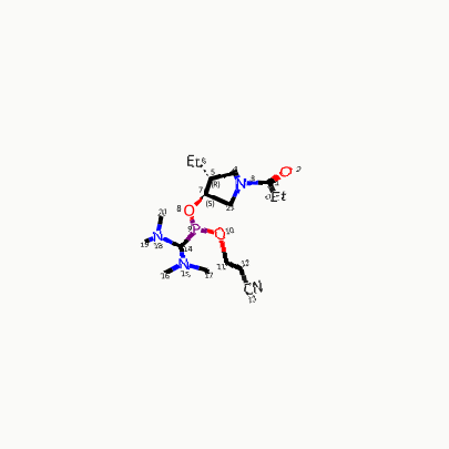 CCC(=O)N1C[C@@H](CC)[C@H](OP(OCCC#N)C(N(C)C)N(C)C)C1